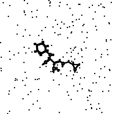 CC(=COCC1CO1)C(=O)Oc1ccccc1